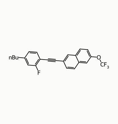 CCCCc1ccc(C#Cc2ccc3cc(OC(F)(F)F)ccc3c2)c(F)c1